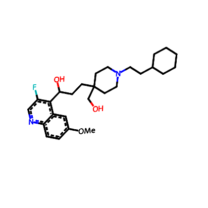 COc1ccc2ncc(F)c(C(O)CCC3(CO)CCN(CCC4CCCCC4)CC3)c2c1